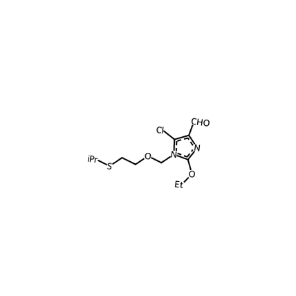 CCOc1nc(C=O)c(Cl)n1COCCSC(C)C